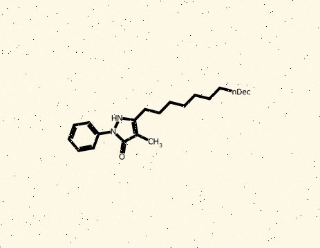 CCCCCCCCCCCCCCCCCc1[nH]n(-c2ccccc2)c(=O)c1C